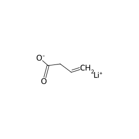 C=CCC(=O)[O-].[Li+]